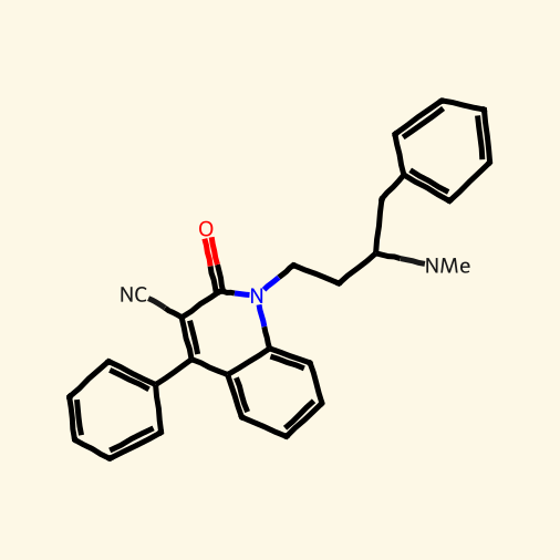 CNC(CCn1c(=O)c(C#N)c(-c2ccccc2)c2ccccc21)Cc1ccccc1